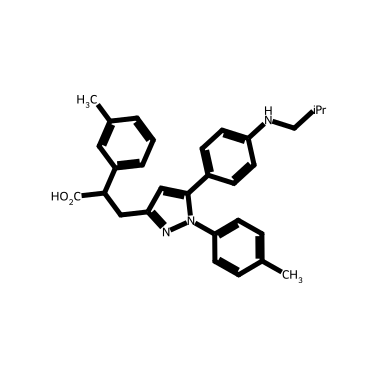 Cc1ccc(-n2nc(CC(C(=O)O)c3cccc(C)c3)cc2-c2ccc(NCC(C)C)cc2)cc1